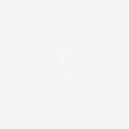 NC(=O)C1=CC=CCOO1